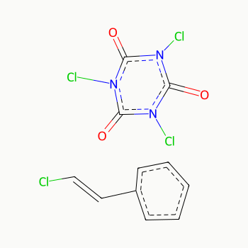 ClC=Cc1ccccc1.O=c1n(Cl)c(=O)n(Cl)c(=O)n1Cl